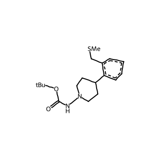 CSCc1ccccc1C1CCN(NC(=O)OC(C)(C)C)CC1